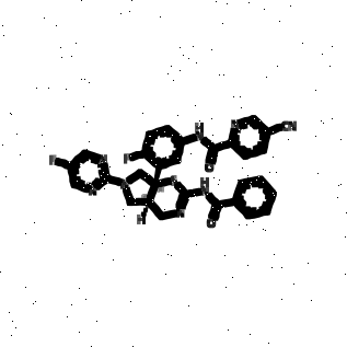 N#Cc1ccc(C(=O)Nc2ccc(F)c([C@]34CN(c5ncc(F)cn5)C[C@@H]3CN=C(NC(=O)c3ccccc3)S4)c2)nc1